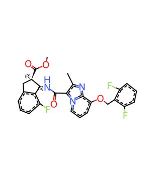 COC(=O)[C@@H]1Cc2cccc(F)c2[C@H]1NC(=O)c1c(C)nc2c(OCc3c(F)cccc3F)cccn12